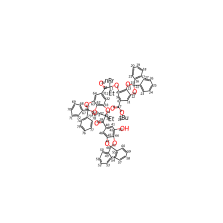 CCCC(CC)(Oc1cc(C(=O)OC(C)(C)C)cc2c1OC(c1ccccc1)(c1ccccc1)O2)C(=O)c1cc(OC(CC)(CCC)C(=O)c2cc(O)c3c(c2)OC(c2ccccc2)(c2ccccc2)O3)c2c(c1)OC(c1ccccc1)(c1ccccc1)O2